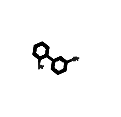 CC(C)c1cccc(-c2ccccc2C(C)C)c1